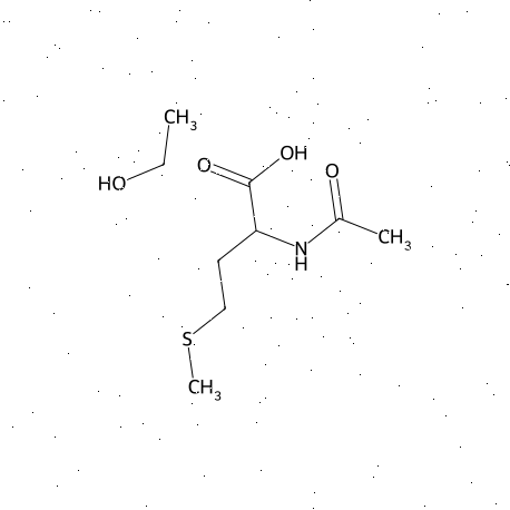 CCO.CSCCC(NC(C)=O)C(=O)O